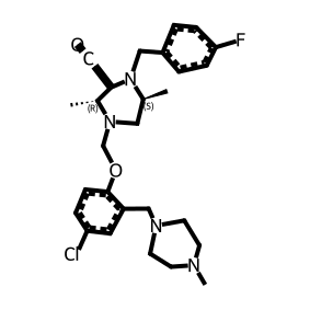 C[C@@H]1C(=C=O)N(Cc2ccc(F)cc2)[C@@H](C)CN1COc1ccc(Cl)cc1CN1CCN(C)CC1